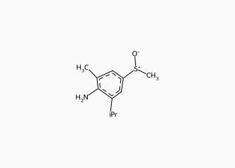 Cc1cc([S+](C)[O-])cc(C(C)C)c1N